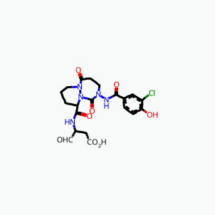 O=CC(CC(=O)O)NC(=O)C1CCCN2C(=O)CCN(NC(=O)c3ccc(O)c(Cl)c3)C(=O)N12